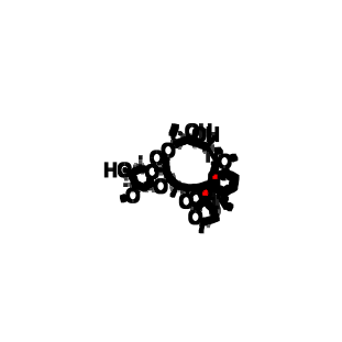 CC[C@H]1OC(=O)[C@H](C)[C@@H](O[C@H]2C[C@@](C)(OC)[C@@H](O)[C@H](C)O2)[C@H](C)[C@@H](O[C@@H]2O[C@H](C)C[C@H](N(C)C)[C@H]2Oc2cccc(OC)c2)[C@](C)(O)C[C@@H](C)CN(C)[C@H](C)[C@@H](O)[C@]1(C)O